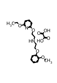 CCOc1cccc(OCCNCCOc2ccccc2OC)n1.O=C(O)C(=O)O